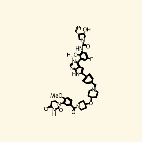 COc1ccc(C(=O)N2CCC(OC3CCN(Cc4ccc(-c5cc6c(-c7cc(F)cc(NC(=O)N8C[C@H](CC(C)C)[C@@H](O)C8)c7C)ncnc6[nH]5)cc4)CC3)CC2)cc1N1CCC(=O)NC1=O